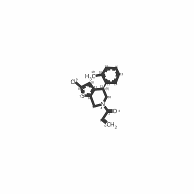 C=CC(=O)N1Cc2sc(Cl)cc2[C@@H](c2ccccc2C)C1